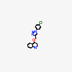 Clc1ccc(-n2cc(COC3=c4ccccc4=NCC3)nn2)cc1